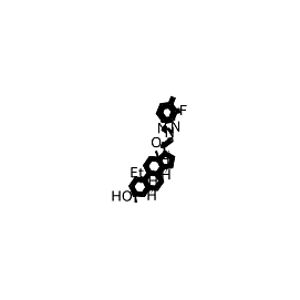 CC[C@]12CC[C@@](C)(O)C[C@H]1CC[C@H]1[C@@H]3CC[C@H](C(=O)Cn4nc5ccc(C)c(F)c5n4)[C@@]3(C)CC[C@@H]12